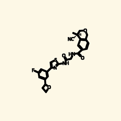 C[C@@]1(C#N)COCc2ccc(C(=O)NCC(=O)Nc3nc(-c4cc(F)cc(C5CCO5)c4)cs3)cc21